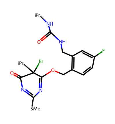 CSC1=NC(=O)C(Br)(C(C)C)C(OCc2ccc(F)cc2CNC(=O)NC(C)C)=N1